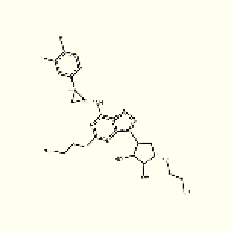 CCCSc1nc(N[C@@H]2C[C@H]2c2ccc(F)c(F)c2)c2nnn(C3C[C@H](OCCO)C(O)C3O)c2n1